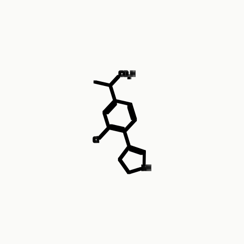 CC(C(=O)O)c1ccc(C2=CNCC2)c(Cl)c1